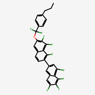 CCCc1ccc(C(F)(F)Oc2cc3ccc(-c4cc(F)c5c(F)c(F)c(F)cc5c4)c(F)c3c(F)c2F)cc1